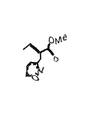 C/C=C(/C(=O)OC)c1ccon1